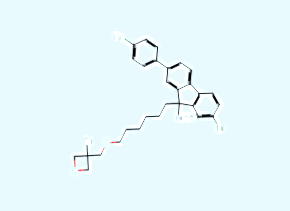 CCCCCCC1(CCCCCCOCC2(CC)COC2)c2cc(Br)ccc2-c2ccc(-c3ccc(Br)cc3)cc21